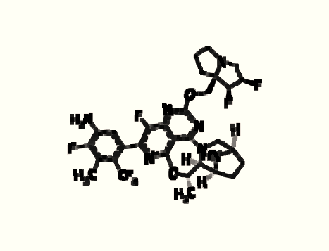 Cc1c(F)c(N)cc(-c2nc3c4c(nc(OC[C@@]56CCCN5C[C@@H](F)[C@H]6F)nc4c2F)N2C[C@H]4CC[C@H](N4)[C@H]2[C@H](C)O3)c1C(F)(F)F